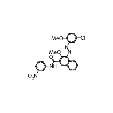 COc1ccc(Cl)cc1N=Nc1c(OC)c(C(=O)Nc2cccc([N+](=O)[O-])c2)cc2ccccc12